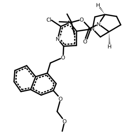 COCOc1cc(COc2cc(N3C[C@H]4CC[C@@H](C3)N4C(=O)OC(C)(C)C)nc(Cl)n2)c2ccccc2c1